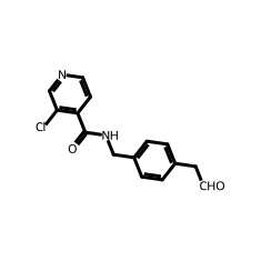 O=CCc1ccc(CNC(=O)c2ccncc2Cl)cc1